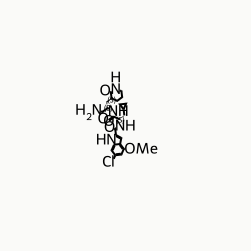 COc1cc(Cl)cc2[nH]c(C(=O)N[C@@H](CC3CC3)C(=O)N[C@@H](C[C@@H]3CCCNC3=O)C(N)=O)cc12